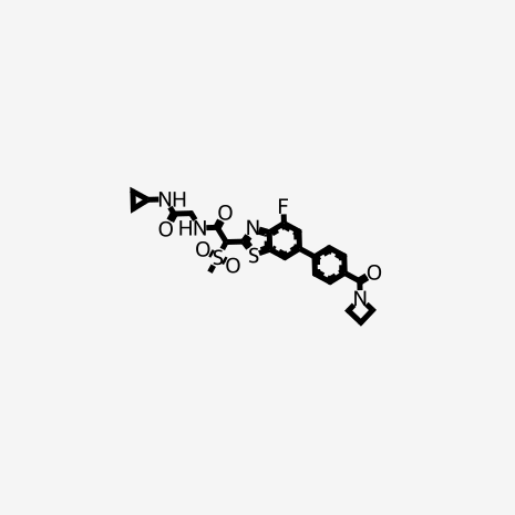 CS(=O)(=O)C(C(=O)NCC(=O)NC1CC1)c1nc2c(F)cc(-c3ccc(C(=O)N4CCC4)cc3)cc2s1